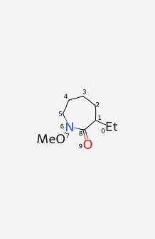 CCC1CCCCN(OC)C1=O